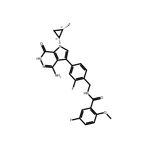 COc1ccc(F)cc1C(=O)NCc1ccc(-c2cn([C@@H]3C[C@@H]3F)c3c(=O)[nH]nc(N)c23)cc1F